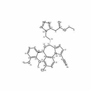 CCOC(=O)Cc1nnnn1CC[C@H]1O[C@H](c2cccc(OC)c2OC)c2cc(Cl)ccc2-n2c(C#N)ccc21